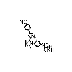 Cc1nnc2n1-c1ccc(N3CC[C@H]4NCCC43)cc1Cn1cc(-c3ccc(C#N)cc3)cc1-2